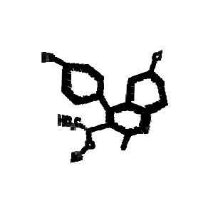 CCO[C@H](C(=O)O)c1c(C)nc2ccc(Cl)cc2c1-c1ccc(CC)cc1